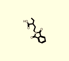 CCC(CCN1C(=O)c2ccccc2C1=O)C(=O)O